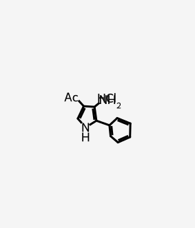 CC(=O)c1c[nH]c(-c2ccccc2)c1N.Cl